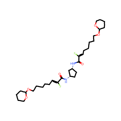 O=C(N[C@@H]1CC[C@H](NC(=O)C(F)=CCCCCCOC2CCCCO2)C1)C(F)=CCCCCCOC1CCCCO1